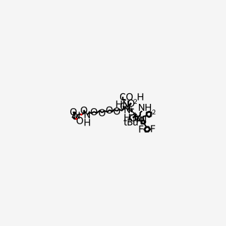 CC(C)(C)[C@H](c1cc(-c2cc(F)ccc2F)cn1Cc1ccccc1)N(CCCN)C(=O)CSC[C@H](NC(=O)CCOCCOCCOCCOCCNC(=O)CCN1C(=O)C=CC1=O)C(=O)NCCC(=O)O